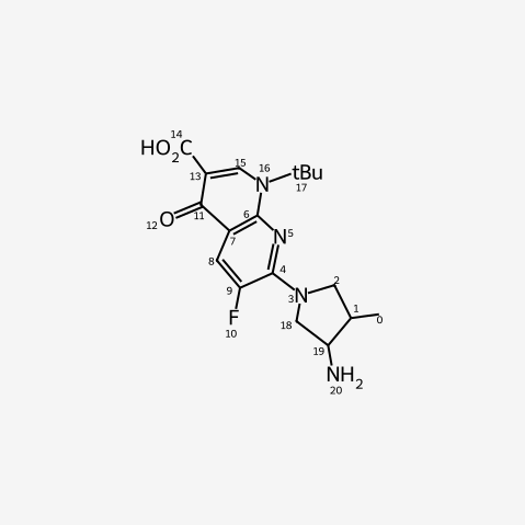 CC1CN(c2nc3c(cc2F)c(=O)c(C(=O)O)cn3C(C)(C)C)CC1N